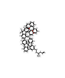 C=CCC(CC)CCc1ccc2c(c1)-c1ccc(N(c3cccc(-c4cccc5cccc(-c6ccccc6)c45)c3)c3cccc4c3-c3ccccc3C4(C)C)cc1C21c2ccccc2-c2ccccc21